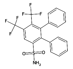 NS(=O)(=O)c1cc(C(F)(F)F)c(C(F)(F)F)c(-c2ccccc2)c1-c1ccccc1